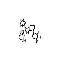 Cc1cc(N2C(NC3C4CCC3CNC4)N=C3C(c4ccc(F)c(F)c4F)=CC=CN32)ncn1